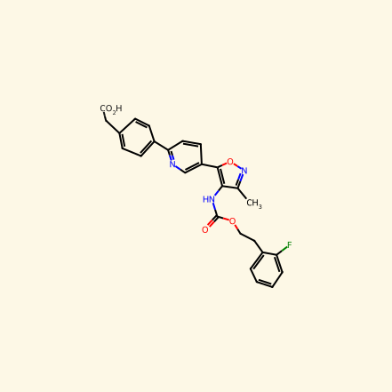 Cc1noc(-c2ccc(-c3ccc(CC(=O)O)cc3)nc2)c1NC(=O)OCCc1ccccc1F